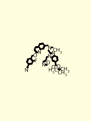 CCN(Cc1ccc2ccc(OCc3ccc(C#N)cc3F)nc2c1)Cc1nc2ccc(C(=O)OC(C)(C)C)cc2n1Cc1cnco1